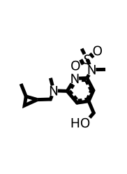 CC1CC1CN(C)c1cc(CO)cc(N(C)S(C)(=O)=O)n1